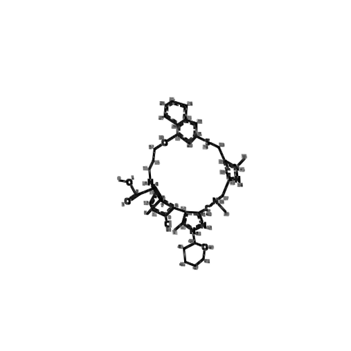 COC(=O)c1c(C)c2c3c(Cl)ccc2n1CCCOc1cc(cc2ccccc12)SCc1cc(nn1C)CN(C)Cc1nn(C2CCCCO2)c(C)c1-3